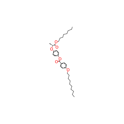 CCCCCCCCCCOc1ccc(C(=O)Oc2ccc(O[C@@H](C)C(=O)OCCCCCCCC)cc2)cc1